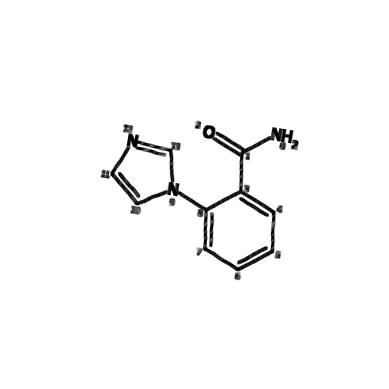 NC(=O)c1ccccc1-n1ccnc1